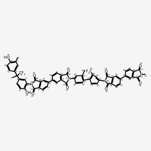 Cc1cc(C(C)(c2ccc(O)c(N3C(=O)c4ccc(-c5ccc6c(c5)C(=O)N(c5ccc(-c7ccc(N8C(=O)c9ccc(-c%10ccc%11c(c%10)C(=O)N(C)C%11=O)cc9C8=O)cc7C(F)(F)F)c(C)c5)C6=O)cc4C3=O)c2)C(F)(F)F)ccc1O